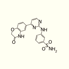 NS(=O)(=O)c1cccc(Nc2nccc(-c3ccc4c(c3)NC(=O)CO4)n2)c1